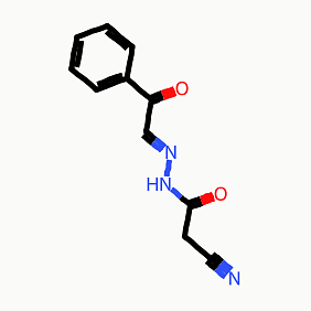 N#CCC(=O)N/N=C/C(=O)c1ccccc1